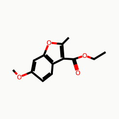 CCOC(=O)c1c(C)oc2cc(OC)ccc12